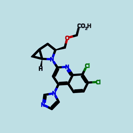 O=C(O)COC[C@@H]1CC2C[C@@H]2N1c1cc(-n2ccnc2)c2ccc(Cl)c(Cl)c2n1